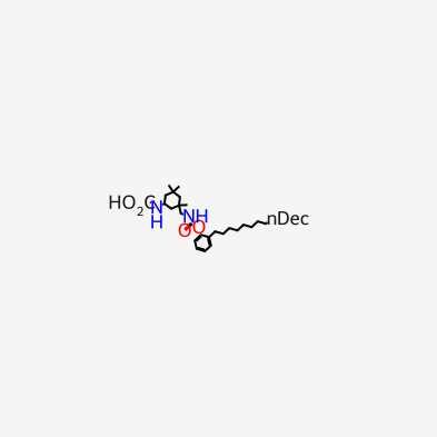 CCCCCCCCCCCCCCCCCCc1ccccc1OC(=O)NCC1(C)CC(NC(=O)O)CC(C)(C)C1